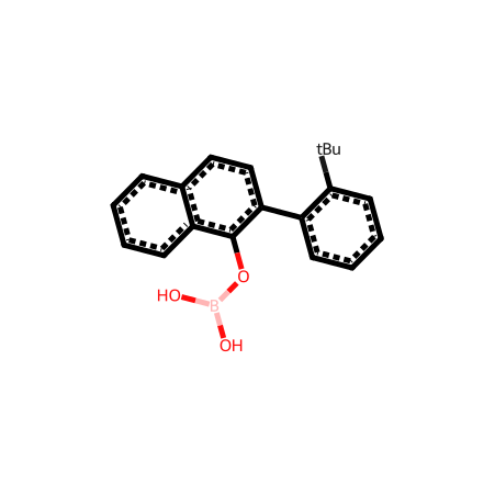 CC(C)(C)c1ccccc1-c1ccc2ccccc2c1OB(O)O